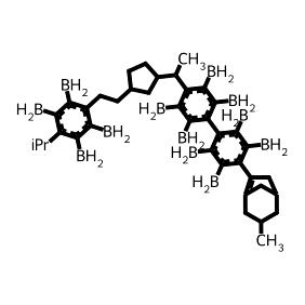 Bc1c(B)c(C(C)C)c(B)c(B)c1CCC1CCC(C(C)c2c(B)c(B)c(-c3c(B)c(B)c(C4=C5CC(C)CC(C5)C4)c(B)c3B)c(B)c2B)C1